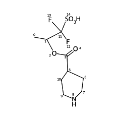 CC(OC(=O)C1CCNCC1)C(F)(F)S(=O)(=O)O